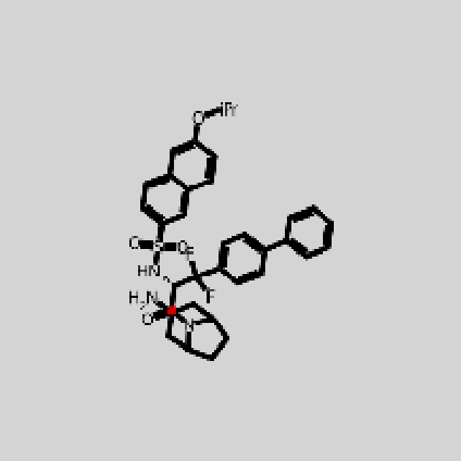 CC(C)Oc1ccc2cc(S(=O)(=O)N[C@@H](C(=O)N3C4CCC3CC(N)C4)C(F)(F)c3ccc(-c4ccccc4)cc3)ccc2c1